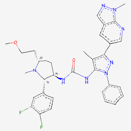 COCC[C@@H]1C[C@@H](NC(=O)Nc2c(C)c(-c3cnc4c(cnn4C)c3)nn2-c2ccccc2)[C@H](c2ccc(F)c(F)c2)N1C